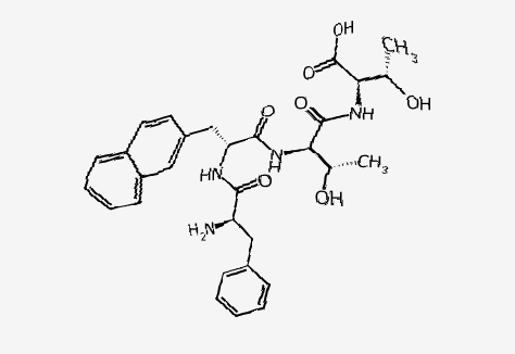 C[C@H](O)[C@@H](NC(=O)[C@H](NC(=O)[C@@H](Cc1ccc2ccccc2c1)NC(=O)[C@H](N)Cc1ccccc1)[C@H](C)O)C(=O)O